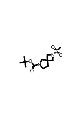 CC(C)(C)OC(=O)N1CCC2(C1)CN(S(C)(=O)=O)C2